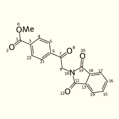 COC(=O)c1ccc(C(=O)CN2C(=O)c3ccccc3C2=O)cc1